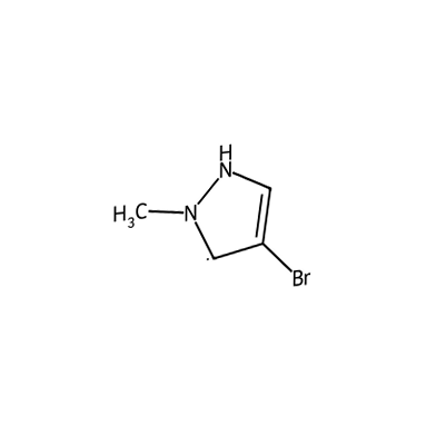 CN1[CH]C(Br)=CN1